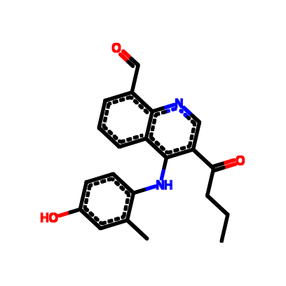 CCCC(=O)c1cnc2c(C=O)cccc2c1Nc1ccc(O)cc1C